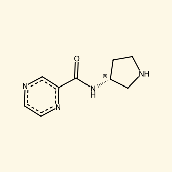 O=C(N[C@@H]1CCNC1)c1cnccn1